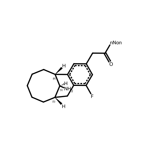 CCCCCCCCCC(=O)Cc1cc(F)c2c(c1)[C@H]1CCCCC[C@@H](C2)[C@@H]1N